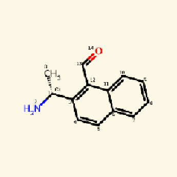 C[C@@H](N)c1ccc2ccccc2c1C=O